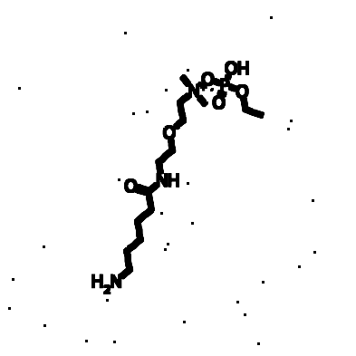 CCOP(=O)(O)O[N+](C)(C)CCOCCNC(=O)CCCCCN